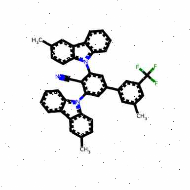 Cc1cc(-c2cc(-n3c4ccccc4c4cc(C)ccc43)c(C#N)c(-n3c4ccccc4c4cc(C)ccc43)c2)cc(C(F)(F)F)c1